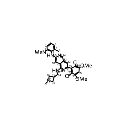 CNc1cccc(C)c1Nc1cc2c(NCC3CN(C)C3)nc(-c3c(Cl)c(OC)cc(OC)c3Cl)cc2cn1